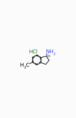 Cc1ccc2c(c1)CC[C@@H]2N.Cl